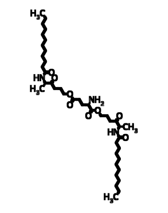 CCCCCCCCCCCC(=O)N[C@H](C)C(=O)CCCOC(=O)CC[C@H](N)C(=O)OCCCC(=O)[C@@H](C)NC(=O)CCCCCCCCCCC